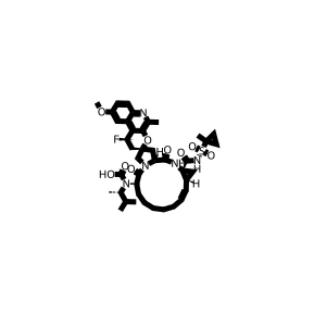 COc1ccc2nc(C)c3c(c2c1)[C@H](F)C[C@]1(C[C@H]2C(=O)N[C@]4(C(=O)NS(=O)(=O)C5(C)CC5)C[C@H]4/C=C\CCCCC[C@H](N(C(=O)O)[C@@H](C)C(C)C)C(=O)N2C1)O3